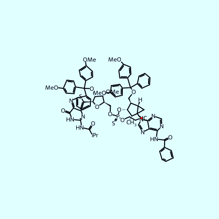 [C-]#[N+]CCOP(=S)(OC[C@H]1O[C@@H](c2snc3c(=O)[nH]c(NC(=O)C(C)C)nc23)[C@H](OC(c2ccccc2)(c2ccc(OC)cc2)c2ccc(OC)cc2)[C@@H]1OC)O[C@@H]1[C@@H](COC(c2ccccc2)(c2ccc(OC)cc2)c2ccc(OC)cc2)[C@@H]2CC2(n2cnc3c(NC(=O)c4ccccc4)ncnc32)[C@@H]1C